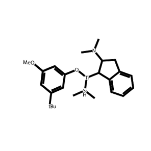 COc1cc([O][Ti]([CH]2c3ccccc3CC2N(C)C)[SiH](C)C)cc(C(C)(C)C)c1